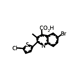 Cc1c(-c2ccc(Cl)s2)nc2ccc(Br)cc2c1C(=O)O